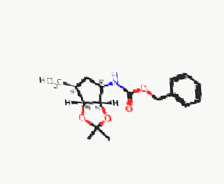 CC1(C)O[C@@H]2[C@H](O1)[C@@H](C(=O)O)C[C@H]2NC(=O)OCc1ccccc1